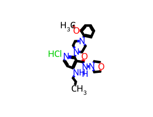 CCCNc1ccnc(N2CCN(c3ccccc3OC)CC2)c1C(=O)NN1CCOCC1.Cl